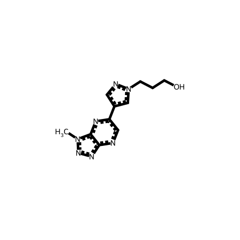 Cn1nnc2ncc(-c3cnn(CCCO)c3)nc21